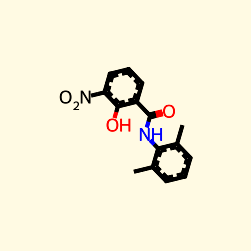 Cc1cccc(C)c1NC(=O)c1cccc([N+](=O)[O-])c1O